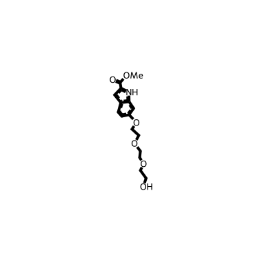 COC(=O)c1cc2ccc(OCCOCCOCCO)cc2[nH]1